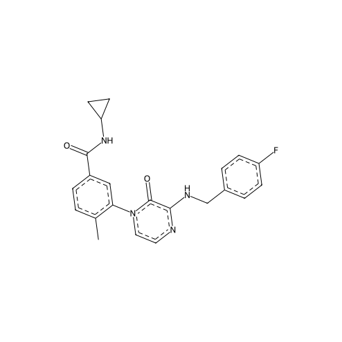 Cc1ccc(C(=O)NC2CC2)cc1-n1ccnc(NCc2ccc(F)cc2)c1=O